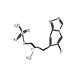 C[C@H](COS(C)(=O)=O)Cc1cc2nncn2cc1F